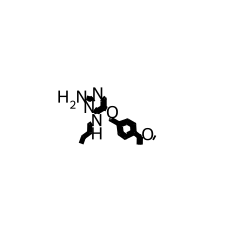 C=C(OC)c1ccc(COc2cnc(N)nc2NCCCC)cc1